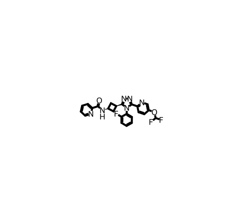 O=C(N[C@H]1C[C@H](c2nnc(-c3ccc(OC(F)F)cn3)n2-c2ccccc2F)C1)c1ccccn1